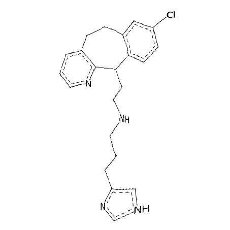 Clc1ccc2c(c1)CCc1cccnc1C2CCNCCCc1c[nH]cn1